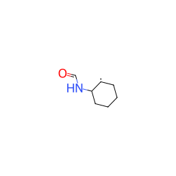 O=CNC1[CH]CCCC1